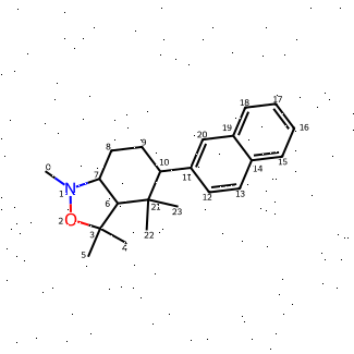 CN1OC(C)(C)C2C1CCC(c1ccc3ccccc3c1)C2(C)C